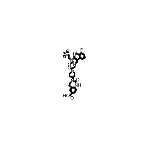 CS(=O)(=O)CCn1c(=O)c(-c2cccc(F)c2Cl)cn(CC(=O)N2CCC(N3CCc4cc(C(=O)O)ccc4NC3=O)CC2)c1=O